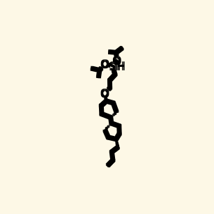 CCCC[C@H]1CC[C@H]([C@H]2CC[C@H](OCCC[SiH](OC(C)C)OC(C)C)CC2)CC1